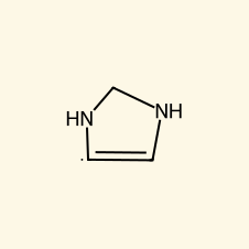 [C]1=CNCN1